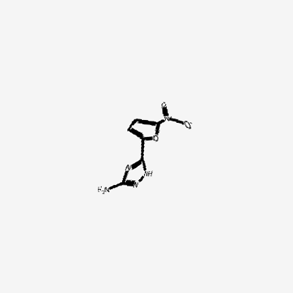 Nc1n[nH]c(-c2ccc([N+](=O)[O-])o2)n1